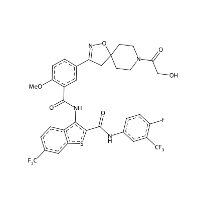 COc1ccc(C2=NOC3(CCN(C(=O)CO)CC3)C2)cc1C(=O)Nc1c(C(=O)Nc2ccc(F)c(C(F)(F)F)c2)sc2cc(C(F)(F)F)ccc12